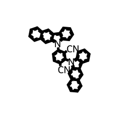 N#Cc1ccc(-n2c3ccccc3c3cc4ccccc4cc32)c(C#N)c1-n1c2ccccc2c2cc3ccccc3cc21